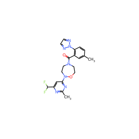 Cc1ccc(-n2nccn2)c(C(=O)N2CCON(c3cc(C(F)F)nc(C)n3)CC2)c1